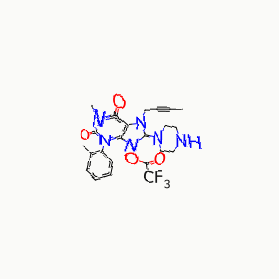 CC#CCN1c2c(n(-c3ccccc3C)c(=O)n(C)c2=O)N(OC(=O)C(F)(F)F)C1N1CCNCC1